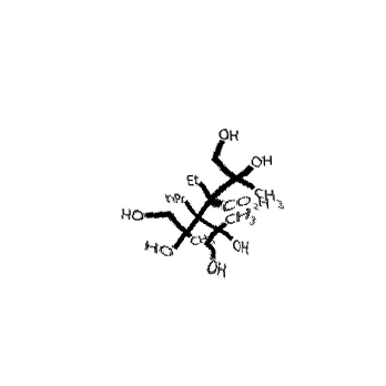 CCCC(C(C)(O)CO)(C(C)(O)CO)C(CC)(C(=O)O)C(C)(O)CO